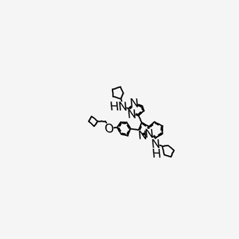 c1cc(NC2CCCC2)n2nc(-c3ccc(OCC4CCC4)cc3)c(-c3ccnc(NC4CCCC4)n3)c2c1